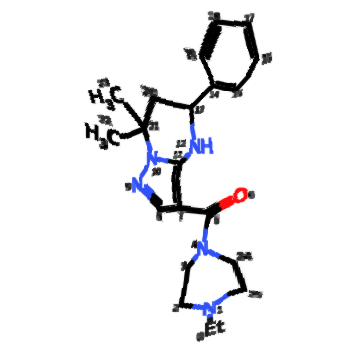 CCN1CCN(C(=O)c2cnn3c2NC(c2ccccc2)CC3(C)C)CC1